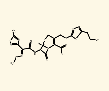 CON=C(C(=O)NC1C(=O)N2C(C(=O)O)=C(CSc3nnc(CCO)s3)CS[C@@H]12)c1nsc(N)n1